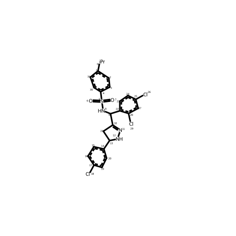 CC(C)c1ccc(S(=O)(=O)NC(C2=NNC(c3ccc(Cl)cc3)C2)c2ccc(Cl)cc2Cl)cc1